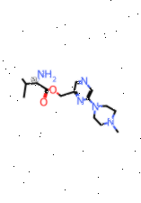 CC(C)[C@H](N)C(=O)OCc1cncc(N2CCN(C)CC2)n1